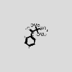 COC(OC)(C(=O)c1ccccc1)[N+](=O)[O-]